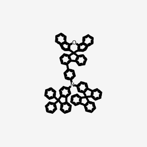 c1ccc(C2(c3ccccc3)c3ccccc3-c3cc(N(c4ccc(-c5cccc6c5-c5ccccc5C65c6ccc7ccccc7c6Oc6c5ccc5ccccc65)cc4)c4ccc5c(c4)C4(c6ccccc6-c6ccccc64)c4ccccc4-5)ccc32)cc1